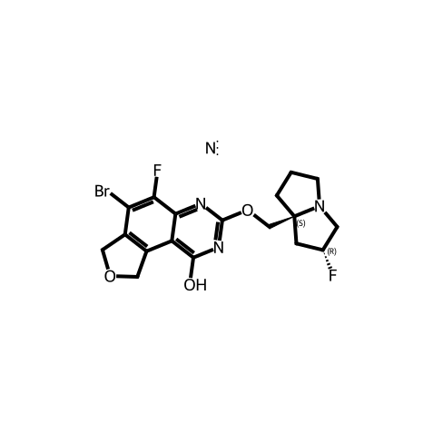 Oc1nc(OC[C@@]23CCCN2C[C@H](F)C3)nc2c(F)c(Br)c3c(c12)COC3.[N]